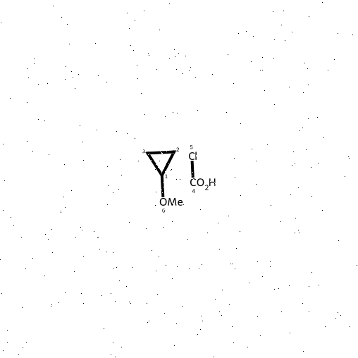 COC1CC1.O=C(O)Cl